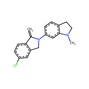 C=C1c2ccc(Cl)cc2CN1c1ccc2c(c1)N(C)CC2